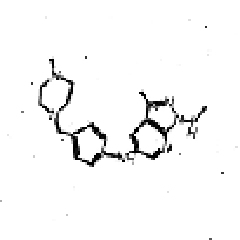 CPn1nc(C)c2cc(Nc3ccc(CN4CCN(C)CC4)cc3)cnc21